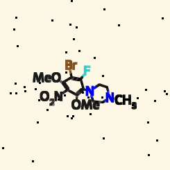 COc1c(Br)c(F)c(N2CCN(C)CC2)c(OC)c1[N+](=O)[O-]